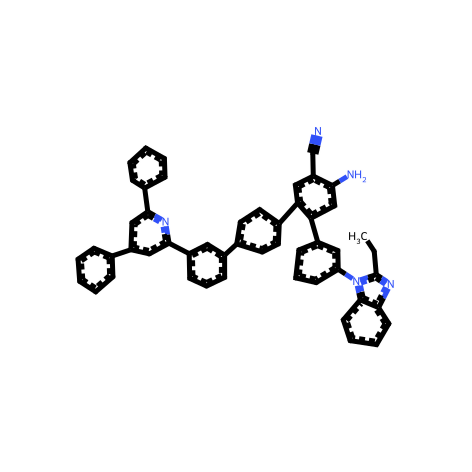 CCc1nc2ccccc2n1-c1cccc(-c2cc(N)c(C#N)cc2-c2ccc(-c3cccc(-c4cc(-c5ccccc5)cc(-c5ccccc5)n4)c3)cc2)c1